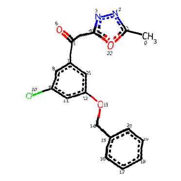 Cc1nnc(C(=O)c2cc(Cl)cc(OCc3ccccc3)c2)o1